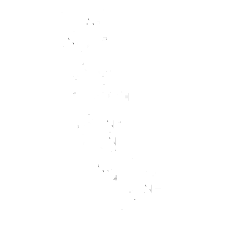 Cc1nc(-c2ccc(-c3ccc(N(C)C4CC(C)(C)NC(C)(C)C4)nn3)c(O)c2)cn1C